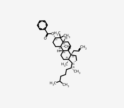 C=CC[C@@]12CC[C@H]([C@H](C)CCCC(C)C)[C@@]1(C)CC[C@H]1C2=CC[C@H]2C(C)(C)[C@@H](OC(=O)c3ccccc3)CC[C@]12C